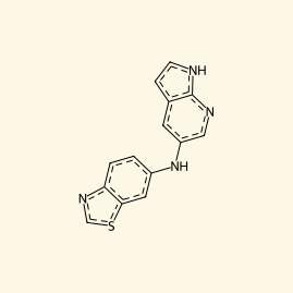 c1cc2cc(Nc3ccc4ncsc4c3)cnc2[nH]1